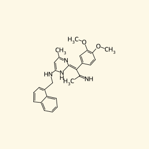 COc1ccc(/C(C(C)=N)=C2\N=C(C)C=C(NCc3cccc4ccccc34)N2)cc1OC